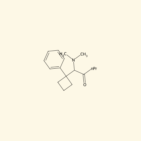 CCCC(=O)C(N(C)C)C1(c2ccccc2)CCC1